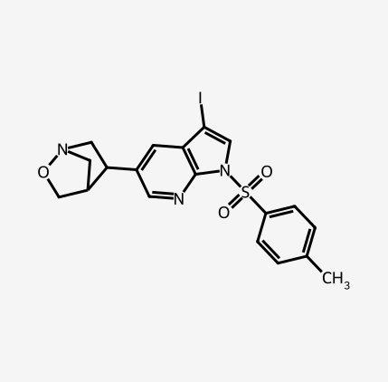 Cc1ccc(S(=O)(=O)n2cc(I)c3cc(C4CN5CC4CO5)cnc32)cc1